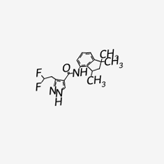 CC1CC(C)(C)c2cccc(NC(=O)c3c[nH]nc3CC(F)F)c21